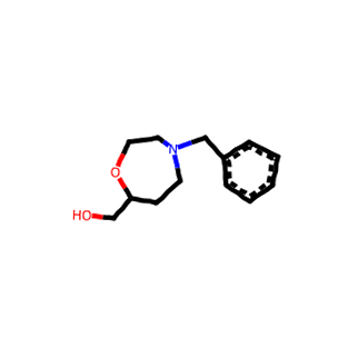 OCC1CCN(Cc2ccccc2)CCO1